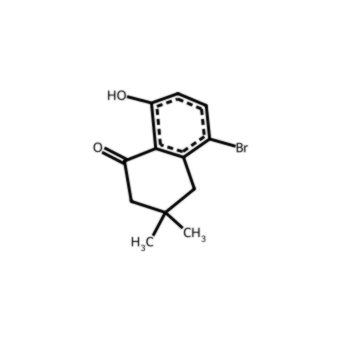 CC1(C)CC(=O)c2c(O)ccc(Br)c2C1